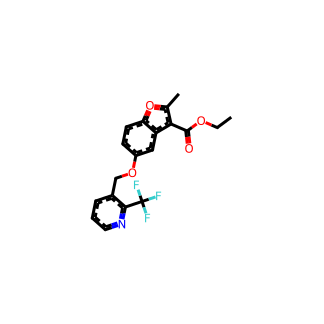 CCOC(=O)c1c(C)oc2ccc(OCc3cccnc3C(F)(F)F)cc12